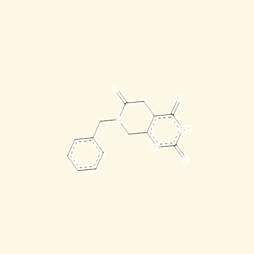 O=C1Cc2c([nH]c(=O)[nH]c2=O)CN1Cc1ccccc1